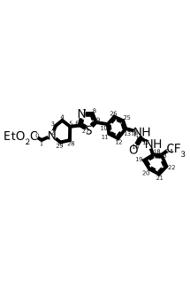 CCOC(=O)CN1CCC(c2ncc(-c3ccc(NC(=O)Nc4ccccc4C(F)(F)F)cc3)s2)CC1